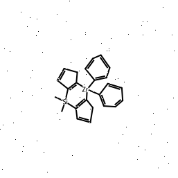 C[Si]1(C)C2=[C](CC=C2)[Zr]([c]2ccccc2)([c]2ccccc2)[C]2=C1C=CC2